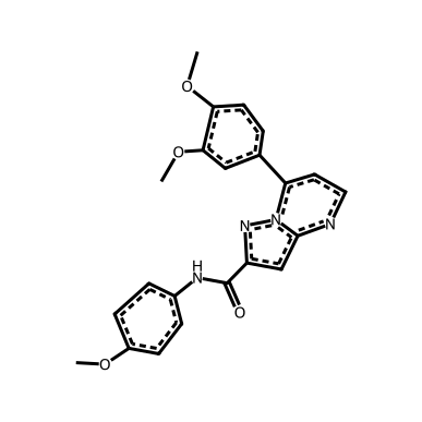 COc1ccc(NC(=O)c2cc3nccc(-c4ccc(OC)c(OC)c4)n3n2)cc1